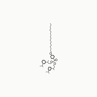 CCCCCCCCCCCCCCCCCCOc1ccc(C(=O)C(OCCC(C)c2cccc(C(C)C)c2)OCCC(C)c2cccc(C(C)C)c2)cc1